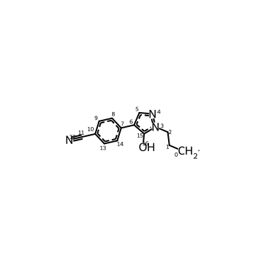 [CH2]CCn1ncc(-c2ccc(C#N)cc2)c1O